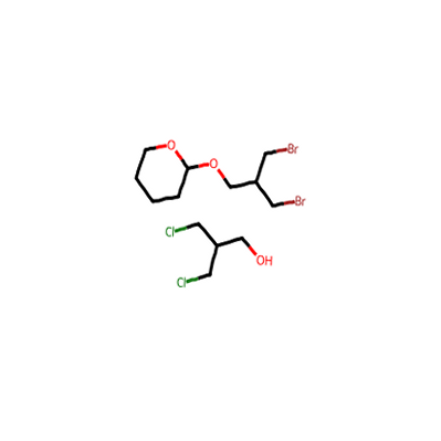 BrCC(CBr)COC1CCCCO1.OCC(CCl)CCl